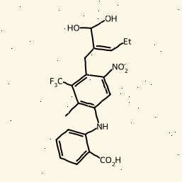 CCC=C(Cc1c([N+](=O)[O-])cc(Nc2ccccc2C(=O)O)c(C)c1C(F)(F)F)C(O)O